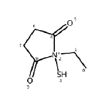 CC[N+]1(S)C(=O)CCC1=O